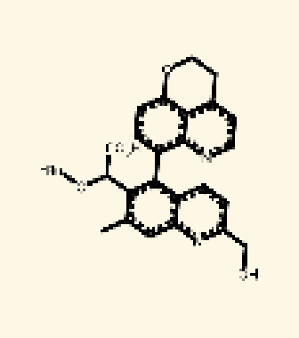 Cc1cc2nc(CO)ccc2c(-c2ccc3c4c(ccnc24)CCO3)c1[C@@H](OC(C)(C)C)C(=O)O